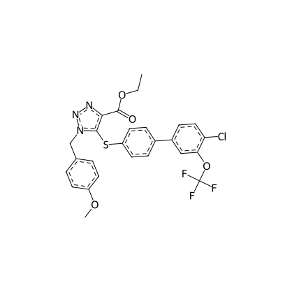 CCOC(=O)c1nnn(Cc2ccc(OC)cc2)c1Sc1ccc(-c2ccc(Cl)c(OC(F)(F)F)c2)cc1